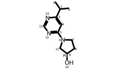 CC(C)c1cc(N2CC[C@@H](O)C2)ncn1